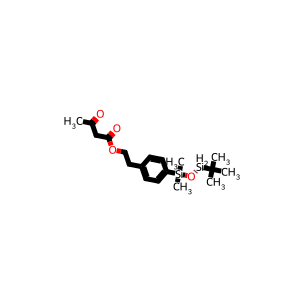 CC(=O)CC(=O)OCCc1ccc([Si](C)(C)O[SiH2]C(C)(C)C)cc1